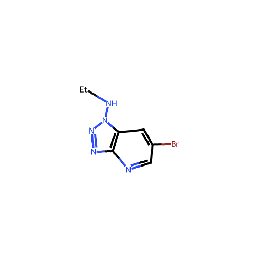 CCNn1nnc2ncc(Br)cc21